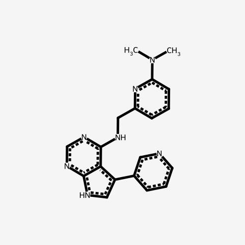 CN(C)c1cccc(CNc2ncnc3[nH]cc(-c4cccnc4)c23)n1